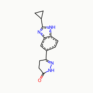 O=C1CCC(c2ccc3[nH]c(C4CC4)nc3c2)=NN1